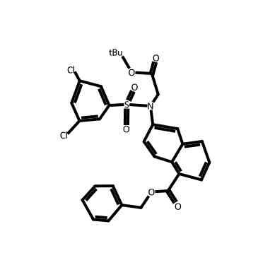 CC(C)(C)OC(=O)CN(c1ccc2c(C(=O)OCc3ccccc3)cccc2c1)S(=O)(=O)c1cc(Cl)cc(Cl)c1